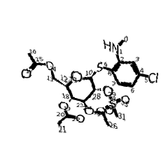 CNc1cc(Cl)ccc1S[C@@H]1O[C@H](COC(C)=O)[C@@H](OC(C)=O)[C@H](OC(C)=O)[C@H]1OS(C)(=O)=O